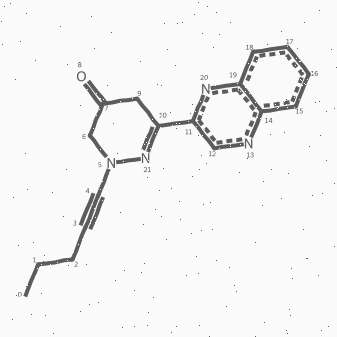 CCCC#CN1CC(=O)CC(c2cnc3ccccc3n2)=N1